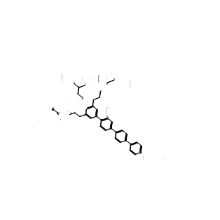 C=C(C)C(=O)OCCCc1cc(-c2ccc(-c3ccc(-c4ccc(CCCCC)cc4)cc3)cc2CC)cc(CCCOC(=O)C(=C)C)c1OCCC(CO)CO